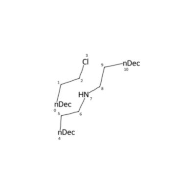 CCCCCCCCCCCCCl.CCCCCCCCCCCCNCCCCCCCCCCCC